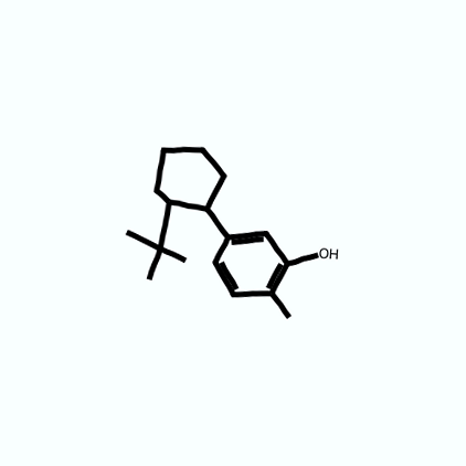 Cc1ccc(C2CCCCC2C(C)(C)C)cc1O